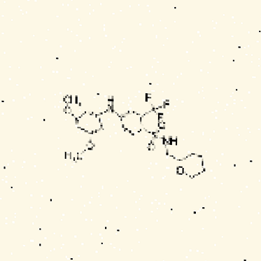 COc1cc(Nc2ccc(S(=O)(=O)NCC3CCCCO3)c(C(F)(F)F)c2)cc(OC)c1